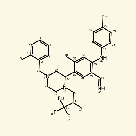 Cc1ccccc1CN1CCN(CC(C)C(F)(F)F)C(c2cc(C=N)c(Nc3ccc(F)cc3)cc2C)C1